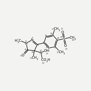 Cc1cc(C2=NN(C)C(=O)C2(C)N(O)C(=O)O)cc(C)c1S(C)(=O)=O